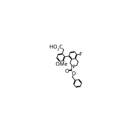 COc1cccc(CC(=O)O)c1-c1ccc(F)c2c1CN(C(=O)OCc1ccccc1)CC2